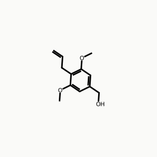 C=CCc1c(OC)cc(CO)cc1OC